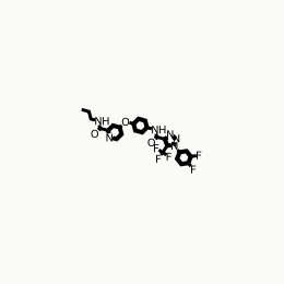 CCCNC(=O)c1cc(Oc2ccc(NC(=O)c3nnn(-c4ccc(F)c(F)c4)c3C(F)(F)F)cc2)ccn1